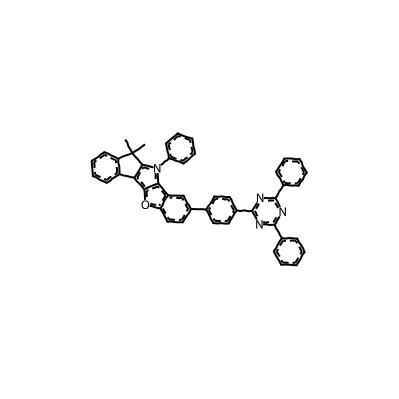 CC1(C)c2ccccc2-c2c1n(-c1ccccc1)c1c2oc2ccc(-c3ccc(-c4nc(-c5ccccc5)nc(-c5ccccc5)n4)cc3)cc21